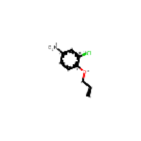 C=CCOc1ccc([N+](=O)[O-])cc1Cl